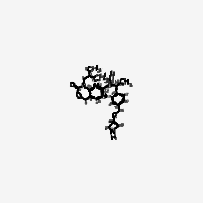 CC(C)CN1C(=O)OCc2cnc(NC(C)c3ccc(COC4CNC4)cc3)nc21